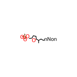 CCCCCCCCCCCC(C)C1CCC(COS(C)(=O)=O)O1